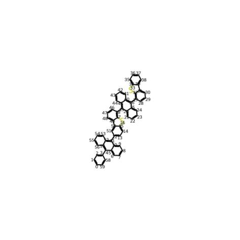 c1ccc(-c2c3ccccc3c(-c3ccc4sc5c(-c6c7ccccc7c(-c7cccc8c7sc7ccccc78)c7ccccc67)cccc5c4c3)c3ccccc23)cc1